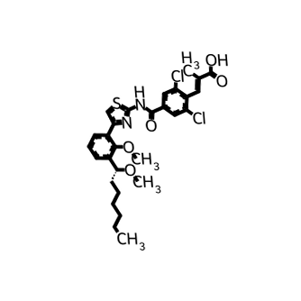 CCCCCC[C@@H](OC)c1cccc(-c2csc(NC(=O)c3cc(Cl)c(C=C(C)C(=O)O)c(Cl)c3)n2)c1OC